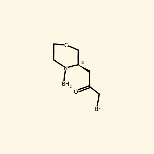 BN1CCCC[C@H]1CC(=O)CBr